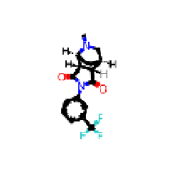 CN1C[C@@H]2CC[C@H]1[C@H]1C(=O)N(c3cccc(C(F)(F)F)c3)C(=O)[C@@H]21